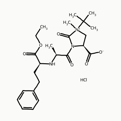 CCOC(=O)[C@H](CCc1ccccc1)N[C@@H](C)C(=O)N1C(=O)[N+](C)(C(C)(C)C)C[C@H]1C(=O)[O-].Cl